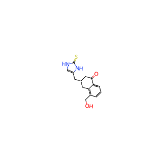 O=C1CC(Cc2c[nH]c(=S)[nH]2)Cc2c(CO)cccc21